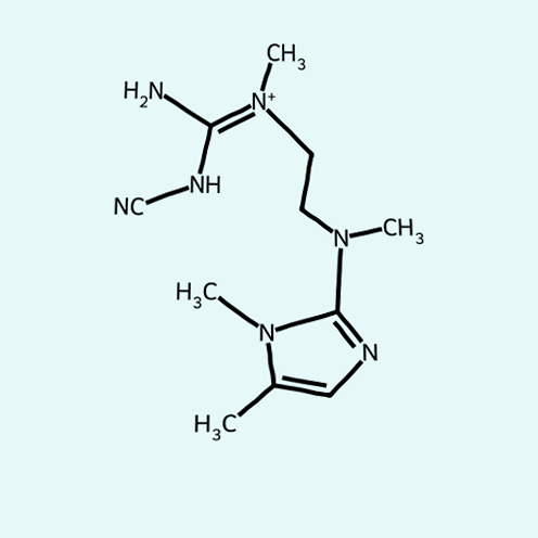 Cc1cnc(N(C)CC[N+](C)=C(N)NC#N)n1C